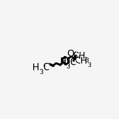 CCCCCc1ccc(C(=O)C(C)(C)C)cc1